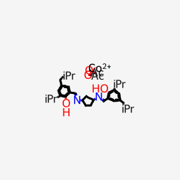 CC(=O)[O-].CC(=O)[O-].CC(C)Cc1cc(C=NC2CCC(N=Cc3cc(CC(C)C)cc(C(C)C)c3O)C2)c(O)c(C(C)C)c1.[Co+2]